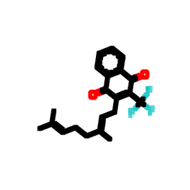 CC(C)=CCC/C(C)=C/CC1=C(C(F)(F)F)C(=O)c2ccccc2C1=O